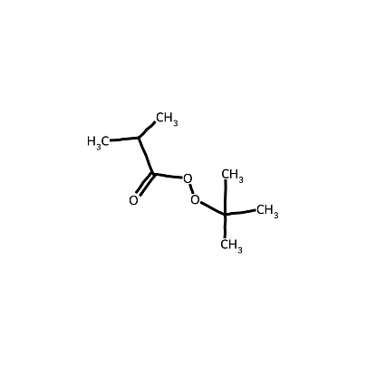 CC(C)C(=O)OOC(C)(C)C